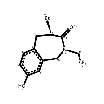 CC[C@@H]1Cc2ccc(O)cc2CN(CC(F)(F)F)C1=O